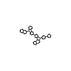 c1ccc(-c2ccc(-n3c4ccc(-c5ccc6c(c5)c5ccccc5n6-c5ccc6ccccc6c5)cc4c4c5ccccc5ccc43)cc2)cc1